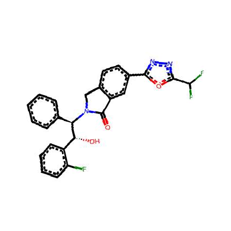 O=C1c2cc(-c3nnc(C(F)F)o3)ccc2CN1[C@H](c1ccccc1)[C@H](O)c1ccccc1F